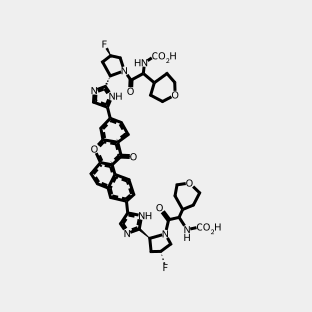 O=C(O)NC(C(=O)N1C[C@H](F)C[C@H]1c1ncc(-c2ccc3c(ccc4oc5cc(-c6cnc([C@@H]7C[C@@H](F)CN7C(=O)C(NC(=O)O)C7CCOCC7)[nH]6)ccc5c(=O)c43)c2)[nH]1)C1CCOCC1